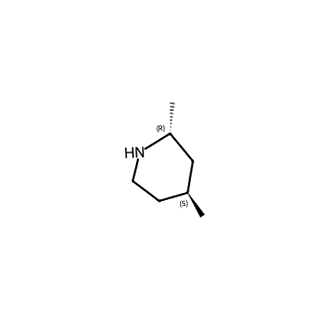 C[C@H]1CCN[C@H](C)C1